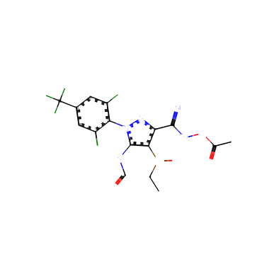 CC[S+]([O-])c1c(C(=N)NOC(C)=O)nn(-c2c(Cl)cc(C(F)(F)F)cc2Cl)c1NC=O